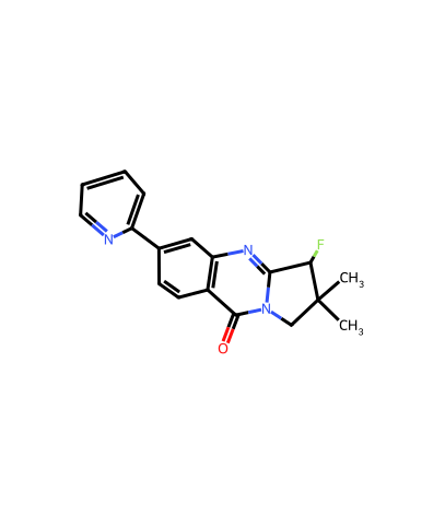 CC1(C)Cn2c(nc3cc(-c4ccccn4)ccc3c2=O)C1F